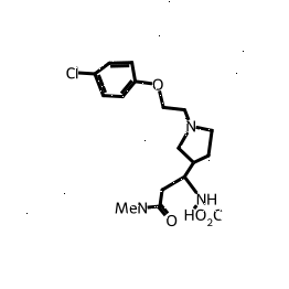 CNC(=O)CC(NC(=O)O)C1CCN(CCOc2ccc(Cl)cc2)C1